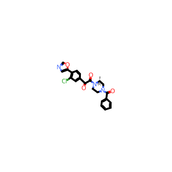 C[C@@H]1CN(C(=O)c2ccccc2)CCN1C(=O)C(=O)c1ccc(-c2cnco2)c(Cl)c1